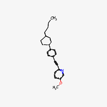 CCCCC1CCC(c2ccc(C#Cc3ccc(OC)cn3)cc2)CC1